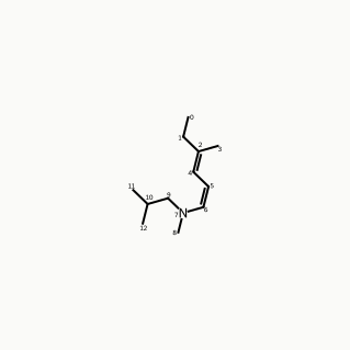 CC/C(C)=C/C=C\N(C)CC(C)C